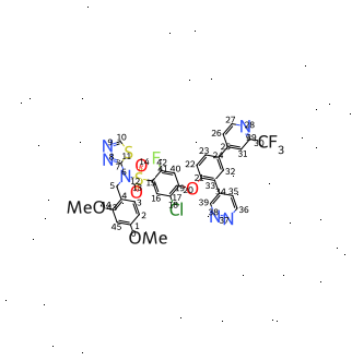 COc1ccc(CN(c2nncs2)S(=O)(=O)c2cc(Cl)c(Oc3ccc(-c4ccnc(C(F)(F)F)c4)cc3-c3ccnnc3)cc2F)c(OC)c1